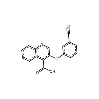 C#Cc1cccc(Oc2cnc3ccccc3c2C(=O)O)c1